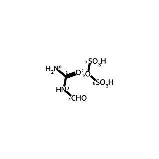 NC(=O)NC=O.O=S(=O)(O)OS(=O)(=O)O